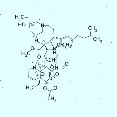 CC[C@]1(O)C[C@H]2CN(CCc3c([nH]c4ccc(CCC(C)C)cc34)[C@@](C(=O)OC)(C3C=C4C(=CC3OC)N(C=O)[C@@]35O[C@]3(C(=O)OC)[C@H](OC(C)=O)[C@]3(CC)C=CCN6CC[C@]45[C@@H]63)C2)C1